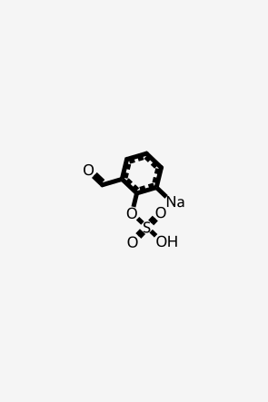 O=Cc1ccc[c]([Na])c1OS(=O)(=O)O